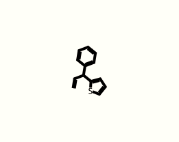 C=CC(c1ccccc1)c1cccs1